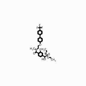 CCOP(=O)(OCC)C(O)c1ccc(C(=O)N(C)CCOc2ccc(-c3ccc(C(F)(F)F)cc3)cc2)c(F)c1